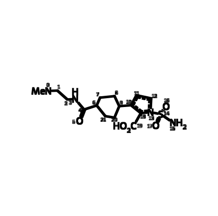 CNCCNC(=O)C1CCC(c2ccn(S(N)(=O)=O)c2C(=O)O)CC1